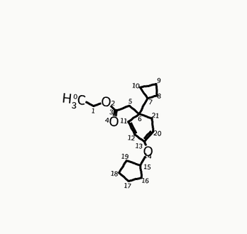 CCOC(=O)CC1(C2CCC2)C=CC(OC2CCCC2)=CC1